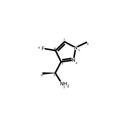 C[C@H](N)c1nn(C)cc1F